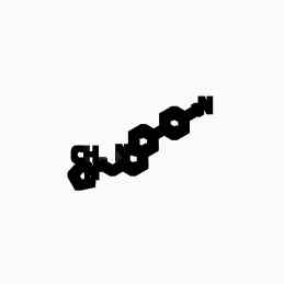 C[C@@H]1CCCN1CCc1ccc2cc(-c3ccc(C#N)cc3)ccc2n1